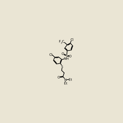 CCN(CC)C(=O)CCSc1ccc(Cl)cc1NS(=O)(=O)c1ccc(Cl)c(C(F)(F)F)c1